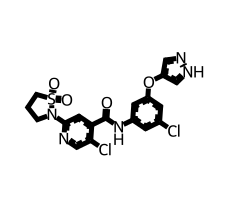 O=C(Nc1cc(Cl)cc(Oc2cn[nH]c2)c1)c1cc(N2CCCS2(=O)=O)ncc1Cl